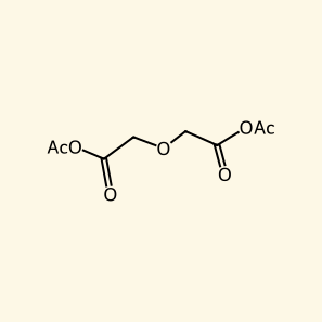 CC(=O)OC(=O)COCC(=O)OC(C)=O